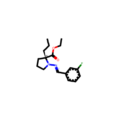 CCC[C@]1(C(=O)OCC)CCCN1/N=C/c1cccc(F)c1